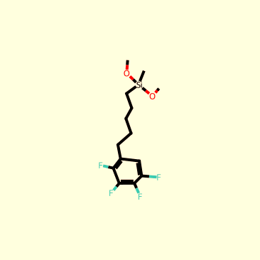 CO[Si](C)(CCCCCc1cc(F)c(F)c(F)c1F)OC